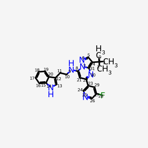 CC(C)(C)c1cnn2c(NCCc3c[nH]c4ccccc34)cc(-c3cncc(F)c3)nc12